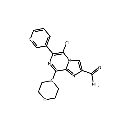 NC(=O)c1cn2c(Cl)c(-c3cccnc3)nc(N3CCOCC3)c2n1